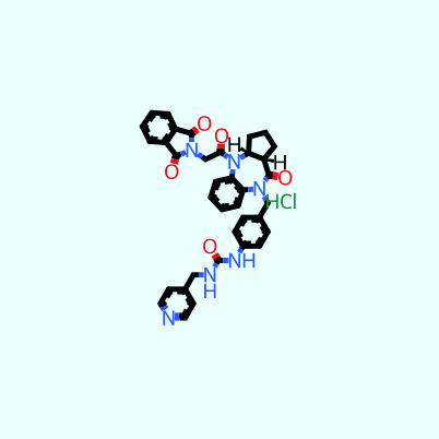 Cl.O=C(NCc1ccncc1)Nc1ccc(CN2C(=O)[C@H]3CCC[C@H]3N(C(=O)CN3C(=O)c4ccccc4C3=O)c3ccccc32)cc1